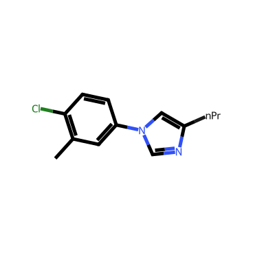 [CH2]CCc1cn(-c2ccc(Cl)c(C)c2)cn1